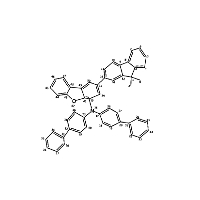 CC1(C)c2ccccc2-c2ccc(-c3cc(N(c4ccc(-c5ccccc5)cc4)c4ccc(-c5ccccc5)cc4)c4oc5ccccc5c4c3)cc21